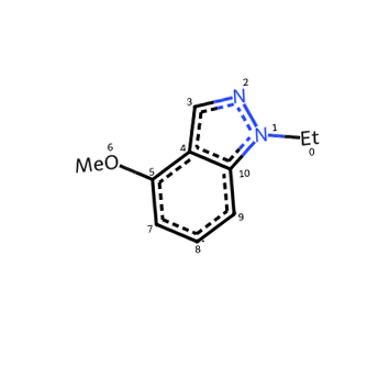 CCn1ncc2c(OC)c[c]cc21